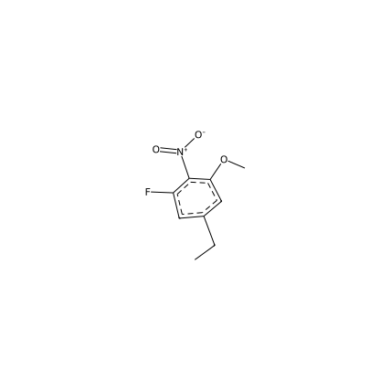 CCc1cc(F)c([N+](=O)[O-])c(OC)c1